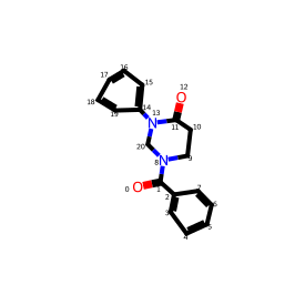 O=C(c1ccccc1)N1CCC(=O)N(c2ccccc2)C1